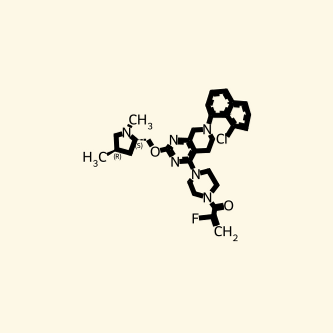 C=C(F)C(=O)N1CCN(c2nc(OC[C@@H]3C[C@@H](C)CN3C)nc3c2CCN(c2cccc4cccc(Cl)c24)C3)CC1